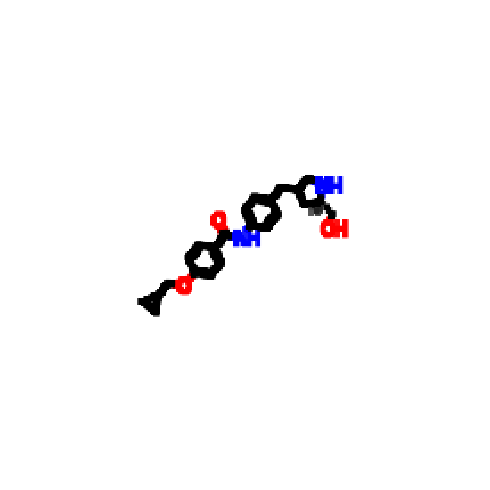 O=C(Nc1ccc(CC2CN[C@H](CO)C2)cc1)c1ccc(OCC2CC2)cc1